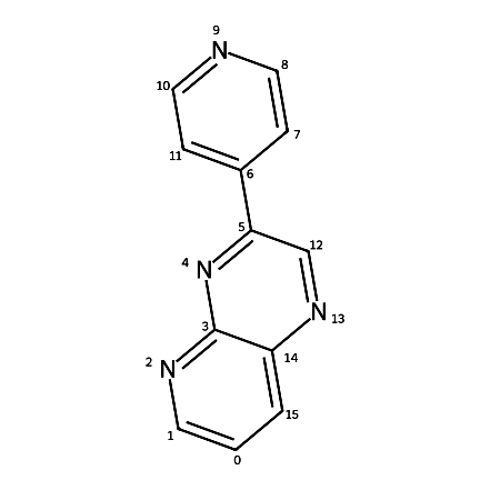 c1cnc2nc(-c3ccncc3)cnc2c1